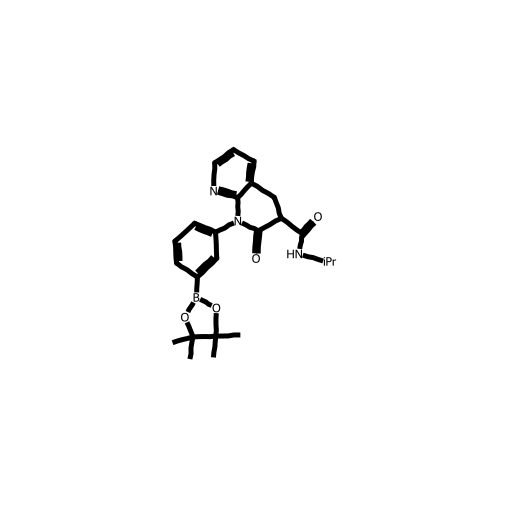 CC(C)NC(=O)C1Cc2cccnc2N(c2cccc(B3OC(C)(C)C(C)(C)O3)c2)C1=O